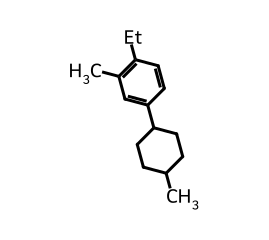 CCc1ccc(C2CCC(C)CC2)cc1C